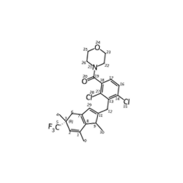 CC1=C[C@](C)(C(F)(F)F)CC2=C1C(C)C(Cc1c(Cl)ccc(C(=O)N3CCOCC3)c1Cl)=C2